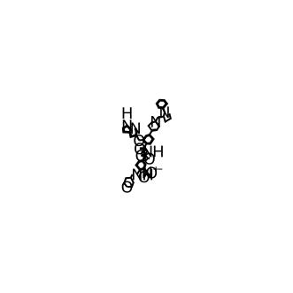 O=C(NS(=O)(=O)c1ccc(NCC2CCOCC2)c([N+](=O)[O-])c1)c1ccc(C2=CCN(CC3CCCN3c3ccccc3)CC2)cc1Oc1cnc2[nH]ccc2c1